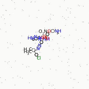 CC1(C)CCC(CN2CCN(c3ccc(C(=O)NS(=O)(=O)c4ccc(OC5CCC(NC6CC6)CC5)c([N+](=O)[O-])c4)c(-n4ncc5nc6[nH]ccc6cc54)c3)CC2)=C(c2ccc(Cl)cc2)C1